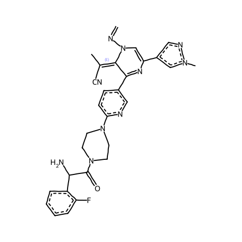 C=NN1C=C(c2cnn(C)c2)N=C(c2ccc(N3CCN(C(=O)C(N)c4ccccc4F)CC3)nc2)/C1=C(/C)C#N